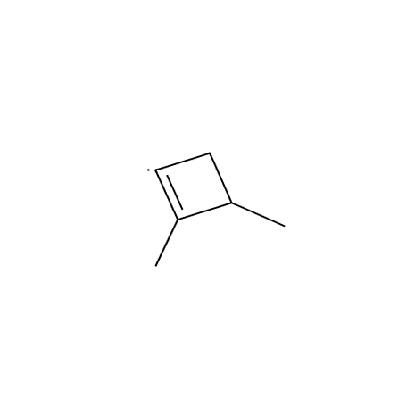 CC1=[C]CC1C